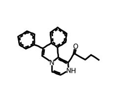 CCCC(=O)C1=C2c3ccccc3C(c3ccccc3)=CN2C=CN1